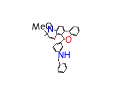 CON1c2ccc3c(c2C(C)=CC1(C)C)C(c1cccc(NCc2ccccc2)c1)Oc1ccccc1-3